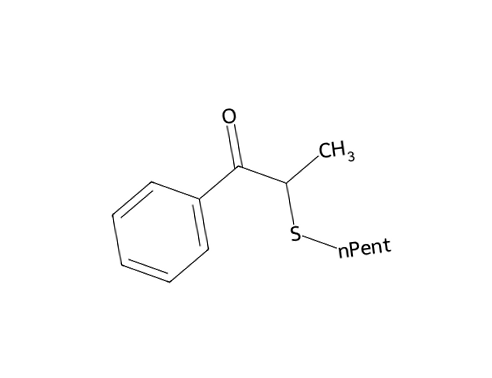 CCCCCSC(C)C(=O)c1ccccc1